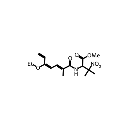 C=C/C(=C\C=C(/C)C(=O)NC(C(=O)OC)C(C)(C)[N+](=O)[O-])OCC